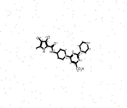 Cc1[nH]c(C(=O)NC2CCN(c3cc(C(=O)O)nc(N4CCOCC4)n3)CC2)c(Cl)c1Cl